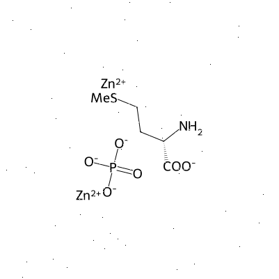 CSCC[C@H](N)C(=O)[O-].O=P([O-])([O-])[O-].[Zn+2].[Zn+2]